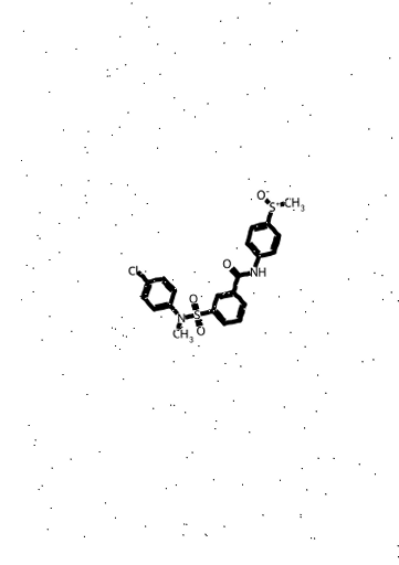 CN(c1ccc(Cl)cc1)S(=O)(=O)c1cccc(C(=O)Nc2ccc([S+](C)[O-])cc2)c1